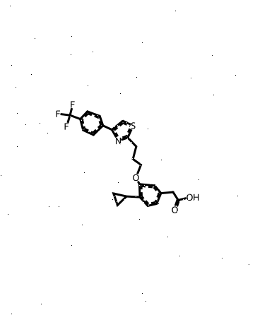 O=C(O)Cc1ccc(C2CC2)c(OCCCc2nc(-c3ccc(C(F)(F)F)cc3)cs2)c1